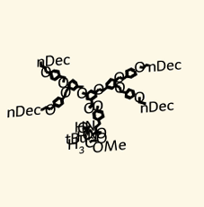 CCCCCCCCCCCCOc1ccc(COc2ccc(COc3cc(OCc4ccc(OCc5ccc(OCCCCCCCCCCCC)cc5)c(OCc5ccc(OCCCCCCCCCCCC)cc5)c4)cc(C(=O)Oc4ccc(CC(NC(=O)OC(C)(C)C)C(=O)NC(C)C(=O)OC)cc4)c3)cc2OCc2ccc(OCCCCCCCCCCCC)cc2)cc1